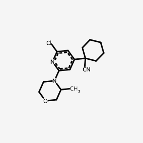 CC1COCCN1c1cc(C2(C#N)CCCCC2)cc(Cl)n1